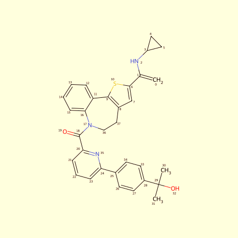 C=C(NC1CC1)c1cc2c(s1)-c1ccccc1N(C(=O)c1cccc(-c3ccc(C(C)(C)O)cc3)n1)CC2